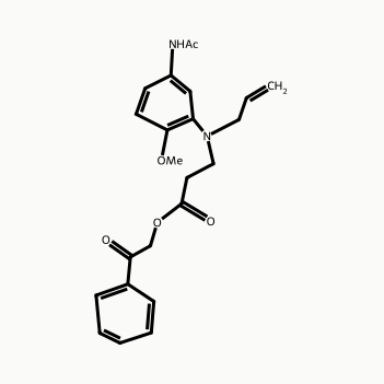 C=CCN(CCC(=O)OCC(=O)c1ccccc1)c1cc(NC(C)=O)ccc1OC